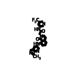 Cn1ncc2cc(Nc3cccc4ccn(CC(=O)Nc5cncc(C(F)(F)F)c5)c(=O)c34)cnc21